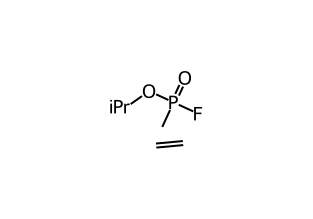 C=C.CC(C)OP(C)(=O)F